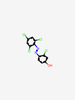 Oc1ccc(N=Nc2c(Cl)cc(Cl)cc2Cl)c(Cl)c1